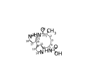 CC1CCC[C@H](NC(=O)O)c2cc(ccn2)-c2ccncc2NC1=O